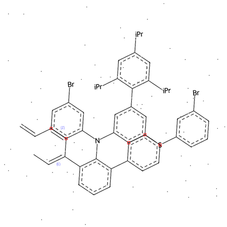 C=C/C=C\C(=C/C)c1cccc(-c2ccccc2)c1N(c1cccc(Br)c1)c1cc(Sc2cccc(Br)c2)cc(-c2c(C(C)C)cc(C(C)C)cc2C(C)C)c1